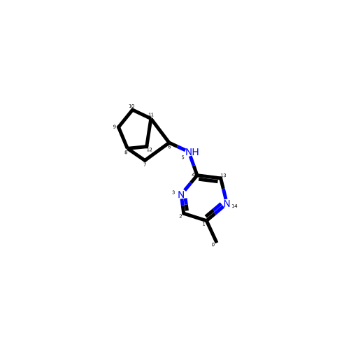 Cc1cnc(NC2CC3CCC2C3)cn1